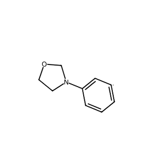 [c]1cccc(N2CCOC2)c1